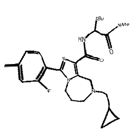 CNC(=O)C(NC(=O)c1nc(-c2ccc(C)cc2F)n2c1CN(CC1CC1)CCC2)C(C)(C)C